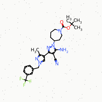 Cc1nn(Cc2cccc(C(F)(F)F)c2)cc1-c1nn([C@H]2CCCN(C(=O)OC(C)(C)C)CC2)c(N)c1C#N